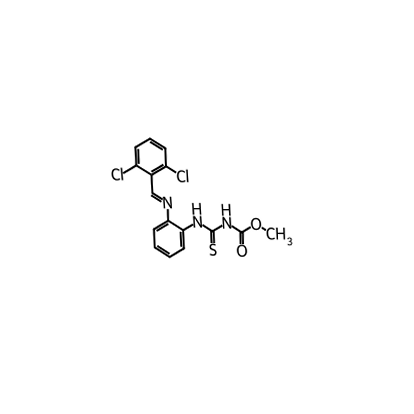 COC(=O)NC(=S)Nc1ccccc1N=Cc1c(Cl)cccc1Cl